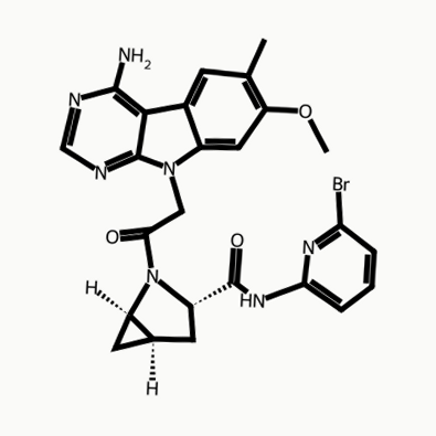 COc1cc2c(cc1C)c1c(N)ncnc1n2CC(=O)N1[C@@H]2C[C@@H]2C[C@H]1C(=O)Nc1cccc(Br)n1